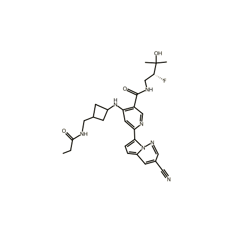 CCC(=O)NCC1CC(Nc2cc(-c3ccc4cc(C#N)cnn34)ncc2C(=O)NC[C@@H](F)C(C)(C)O)C1